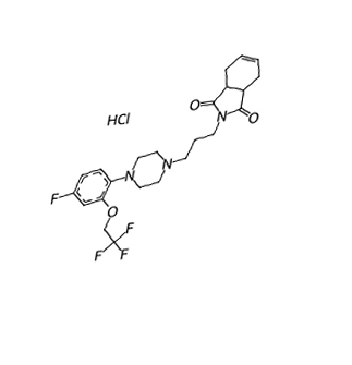 Cl.O=C1C2CC=CCC2C(=O)N1CCCN1CCN(c2ccc(F)cc2OCC(F)(F)F)CC1